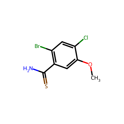 COc1cc(C(N)=S)c(Br)cc1Cl